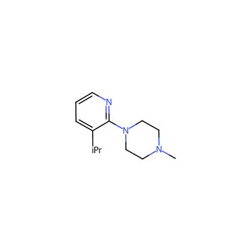 CC(C)c1cccnc1N1CCN(C)CC1